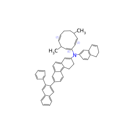 CC1/C=C\CCC(C)/C=C\C(N(C2=Cc3ccc4cc(-c5cc6ccccc6cc5-c5ccccc5)ccc4c3CC2)c2ccc3c(c2)C=CCC3)=C/1